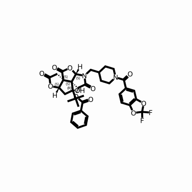 CC(C)(C)[C@]1(O)C[C@@H]2OC(=O)C[C@@]23C(=O)O[C@@H]2N(CC4CCN(C(=O)c5ccc6c(c5)OC(F)(F)O6)CC4)C(=O)[C@H](OC(=O)c4ccccc4)[C@]213